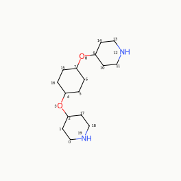 C1CC(OC2CCC(OC3CCNCC3)CC2)CCN1